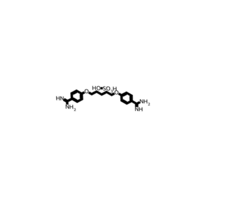 N=C(N)c1ccc(OCCCCCOc2ccc(C(=N)N)cc2)cc1.O=S(=O)(O)O